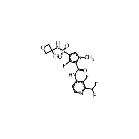 Cn1cc(S(=O)(=O)NC2(C(F)(F)F)COC2)c(F)c1C(=O)Nc1ccnc(C(F)F)c1F